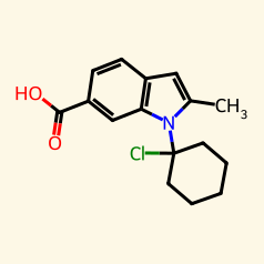 Cc1cc2ccc(C(=O)O)cc2n1C1(Cl)CCCCC1